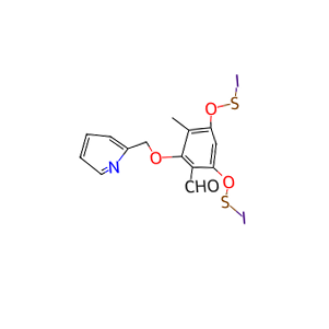 Cc1c(OSI)cc(OSI)c(C=O)c1OCc1ccccn1